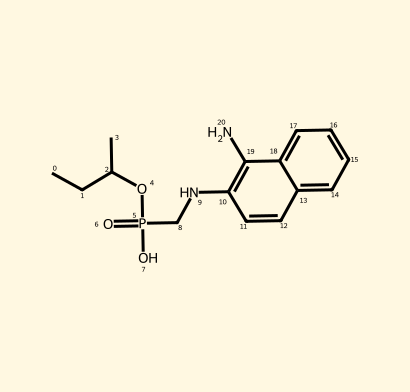 CCC(C)OP(=O)(O)CNc1ccc2ccccc2c1N